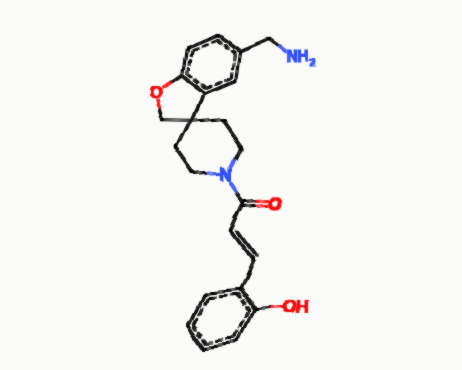 NCc1ccc2c(c1)C1(CCN(C(=O)C=Cc3ccccc3O)CC1)CO2